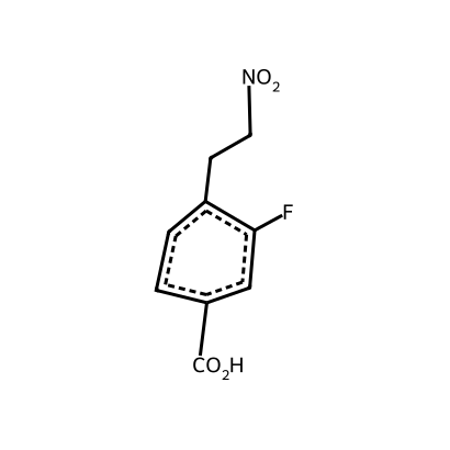 O=C(O)c1ccc(CC[N+](=O)[O-])c(F)c1